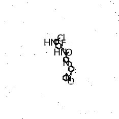 O=C(NCc1ccc2[nH]cc(Cl)c2c1F)c1ccnc(Cc2ccc(Cn3ccccc3=O)cc2)c1